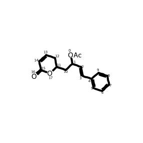 CC(=O)OC(/C=C/c1ccccc1)CC1CC=CC(=O)O1